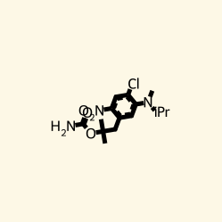 CC(C)N(C)c1cc(CC(C)(C)OC(N)=O)c([N+](=O)[O-])cc1Cl